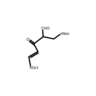 CCCCCCCCC=CC(=O)C([C]=O)CCCCCCCCCC